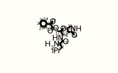 CC(C)C[C@H](N)C(=O)N[C@@H](C[C@@H]1CCNC1=O)C(=O)COC(=O)C(=O)c1ccccc1